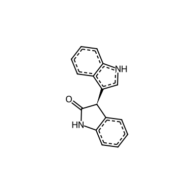 O=C1Nc2ccccc2[C@@H]1c1c[nH]c2ccccc12